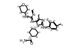 C=N/C(=N\c1c(C)nc(Nc2ccc(C)cc2F)n1[C@H]1CC[C@@H](C(N)=O)CC1)NC1CCOCC1